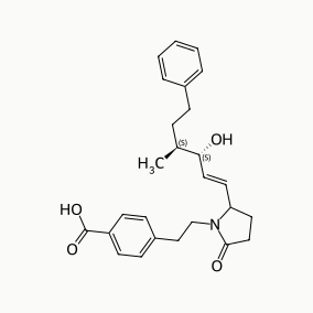 C[C@@H](CCc1ccccc1)[C@H](O)C=CC1CCC(=O)N1CCc1ccc(C(=O)O)cc1